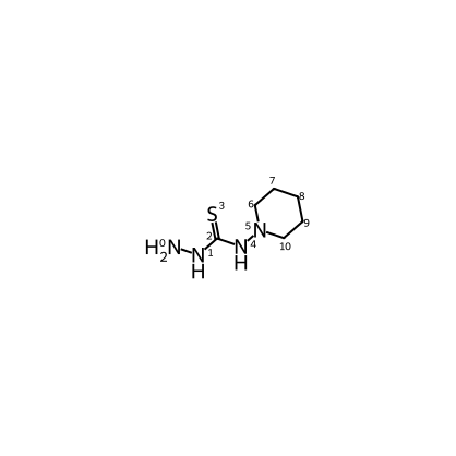 NNC(=S)NN1CCCCC1